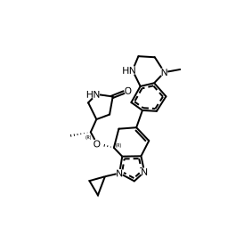 C[C@@H](O[C@@H]1CC(c2ccc3c(c2)NCCN3C)=Cc2ncn(C3CC3)c21)C1CNC(=O)C1